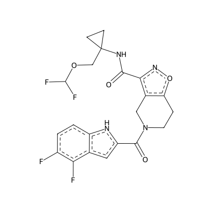 O=C(NC1(COC(F)F)CC1)c1noc2c1CN(C(=O)c1cc3c(F)c(F)ccc3[nH]1)CC2